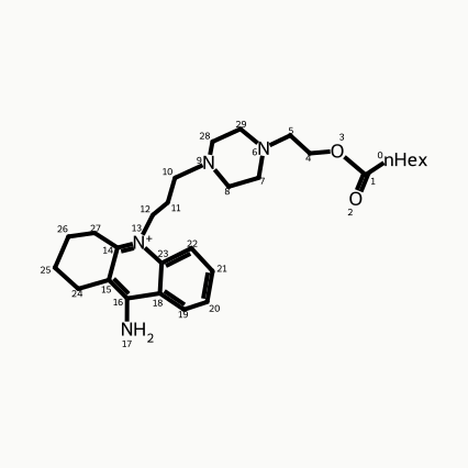 CCCCCCC(=O)OCCN1CCN(CCC[n+]2c3c(c(N)c4ccccc42)CCCC3)CC1